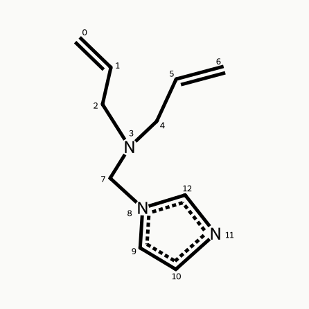 C=CCN(CC=C)Cn1ccnc1